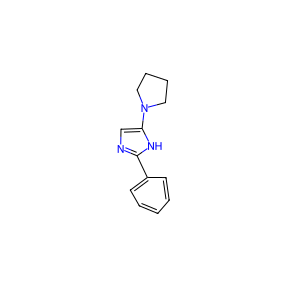 c1ccc(-c2ncc(N3CCCC3)[nH]2)cc1